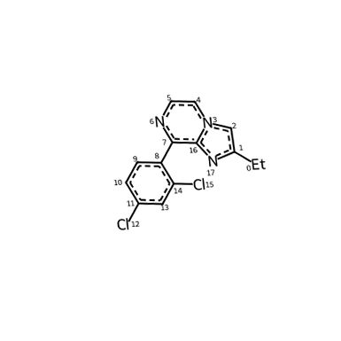 CCc1cn2ccnc(-c3ccc(Cl)cc3Cl)c2n1